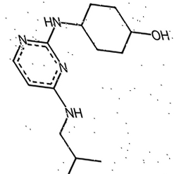 CC(C)CNc1ccnc(NC2CCC(O)CC2)n1